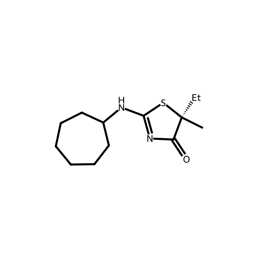 CC[C@@]1(C)SC(NC2CCCCCC2)=NC1=O